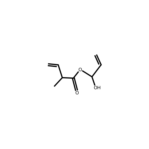 C=CC(O)OC(=O)C(C)C=C